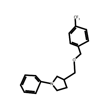 FC(F)(F)c1ccc(COCC2CCN(c3ccccc3)C2)cc1